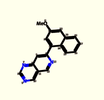 COc1cc(-c2cc3ncncc3cn2)c2ccccc2c1